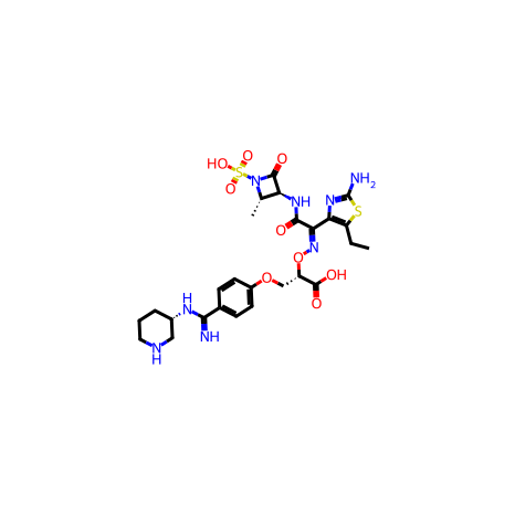 CCc1sc(N)nc1/C(=N/O[C@@H](COc1ccc(C(=N)N[C@H]2CCCNC2)cc1)C(=O)O)C(=O)N[C@@H]1C(=O)N(S(=O)(=O)O)[C@H]1C